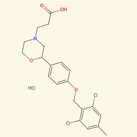 Cc1cc(Cl)c(COc2ccc(C3CN(CCC(=O)O)CCO3)cc2)c(Cl)c1.Cl